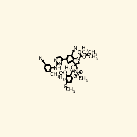 COc1ccc(CN(C[C@@]2(C)CN(C(=O)OC(C)(C)C)c3c(C#N)cc(-c4ccnc(Nc5cc(C#N)ccc5C)n4)cc32)S(C)(=O)=O)c(OC)c1